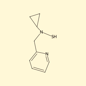 SN(Cc1ccccn1)C1CC1